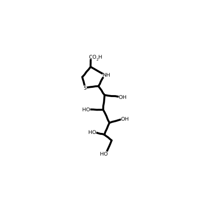 O=C(O)C1CSC(C(O)C(O)C(O)C(O)CO)N1